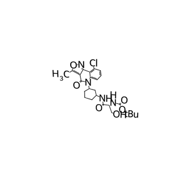 Cc1onc2c1c(=O)n(C1CCCC(NC(=O)C(CO)NC(=O)OC(C)(C)C)C1)c1cccc(Cl)c21